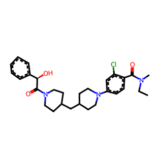 CCN(C)C(=O)c1ccc(N2CCC(CC3CCN(C(=O)[C@H](O)c4ccccc4)CC3)CC2)cc1Cl